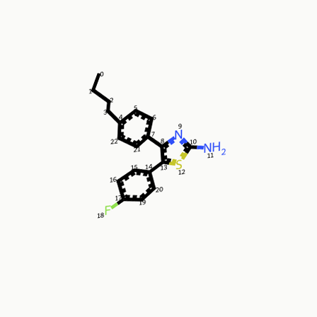 CCCCc1ccc(-c2nc(N)sc2-c2ccc(F)cc2)cc1